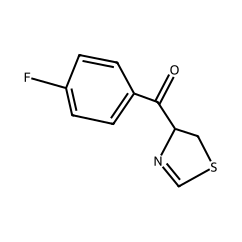 O=C(c1ccc(F)cc1)C1CSC=N1